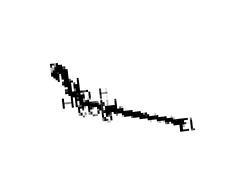 CCC=CCC=CCC=CCC=CCC=CCCCC(=O)NCCCCC(NC(=O)c1ccc(CCN2CCOCC2)nc1)C(=O)O